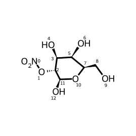 O=[N+]([O-])O[C@@H]1[C@@H](O)[C@@H](O)[C@@H](CO)O[C@H]1O